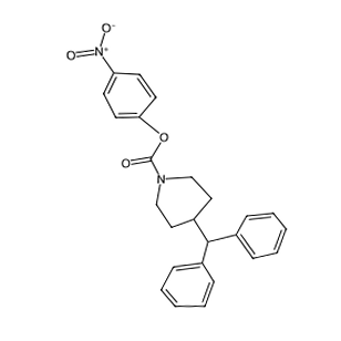 O=C(Oc1ccc([N+](=O)[O-])cc1)N1CCC(C(c2ccccc2)c2ccccc2)CC1